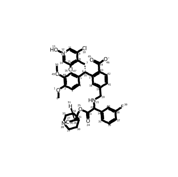 COc1ccc([C@H](Cc2c(Cl)c[n+](O)cc2Cl)c2cc(CNC(C(=O)O[C@H]3CN4CCC3CC4)c3cccc(F)c3)ccc2C(=O)[O-])cc1OC